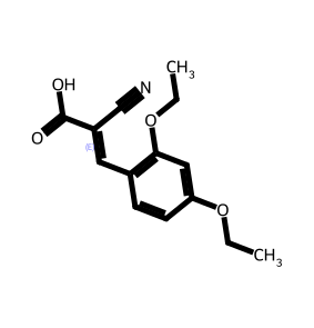 CCOc1ccc(/C=C(\C#N)C(=O)O)c(OCC)c1